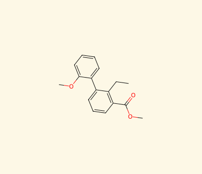 CCc1c(C(=O)OC)cccc1-c1ccccc1OC